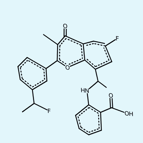 Cc1c(-c2cccc(C(C)F)c2)oc2c(C(C)Nc3ccccc3C(=O)O)cc(F)cc2c1=O